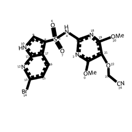 COc1nc(NS(=O)(=O)c2c[nH]c3nc(Br)ccc23)nc(OC)c1OCC#N